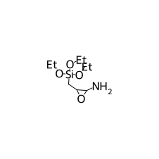 CCO[Si](CC1OC1N)(OCC)OCC